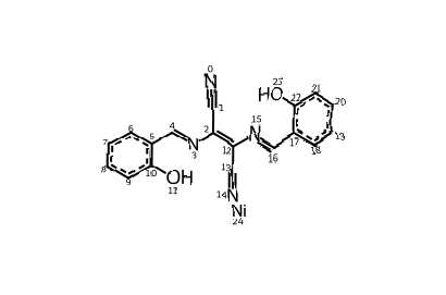 N#CC(/N=C/c1ccccc1O)=C(C#N)\N=C\c1ccccc1O.[Ni]